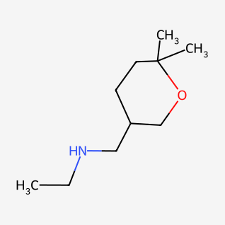 CCNCC1CCC(C)(C)OC1